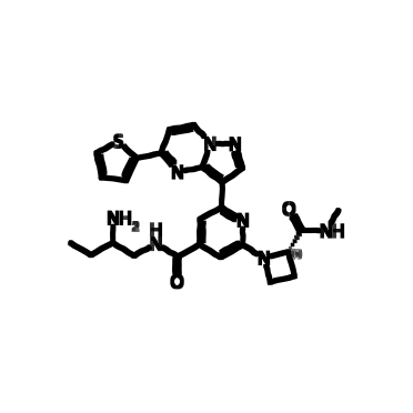 CCC(N)CNC(=O)c1cc(-c2cnn3ccc(-c4cccs4)nc23)nc(N2CC[C@H]2C(=O)NC)c1